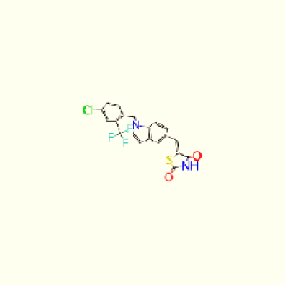 O=C1NC(=O)C(=Cc2ccc3c(ccn3Cc3ccc(Cl)cc3C(F)(F)F)c2)S1